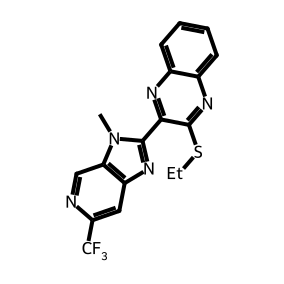 CCSc1nc2ccccc2nc1-c1nc2cc(C(F)(F)F)ncc2n1C